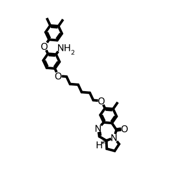 Cc1ccc(Oc2ccc(OCCCCCCOc3cc4c(cc3C)C(=O)N3CCC[C@H]3C=N4)cc2N)cc1C